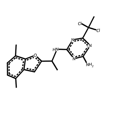 Cc1ccc(C)c2oc(C(C)Nc3nc(N)nc(C(C)(Cl)Cl)n3)cc12